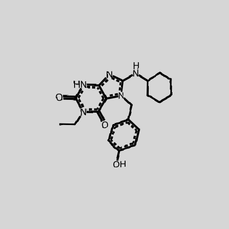 CCn1c(=O)[nH]c2nc(NC3CCCCC3)n(Cc3ccc(O)cc3)c2c1=O